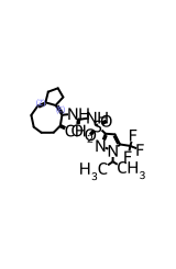 C=C1CCCC/C=C2/CCC/C2=C/1NC(=O)NS(=O)(=O)c1cc(C(F)(F)F)n(C(C)C)n1